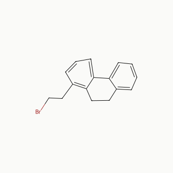 BrCCc1cccc2c1CCc1ccccc1-2